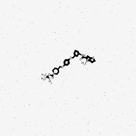 Cn1c(C(=O)Nc2cccc(COc3ccc(OCC4CCN(C(=O)OC(C)(C)C)CC4)cc3)c2)cc2sccc21